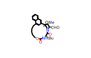 CO[C@@]12C[C@@H](C=O)N(C1)C(=O)[C@H](C(C)(C)C)NC(=O)OCCCCCc1cc2cc2ccccc12